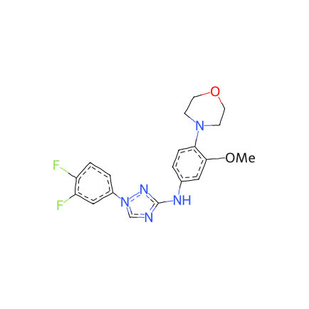 COc1cc(Nc2ncn(-c3ccc(F)c(F)c3)n2)ccc1N1CCOCC1